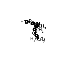 Cc1c(NC(=O)c2ccc(C(C)(C)C)cc2)cccc1-c1cn(C)c(=O)c(Nc2ccc(NC(=O)C3CCNCC3)cc2)n1